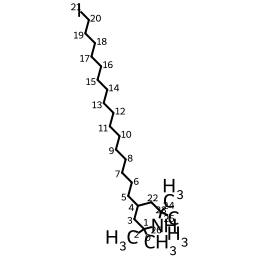 CC1(C)CC(CCCCCCCCCCCCCCCCI)CC(C)(C)N1